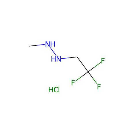 CNNCC(F)(F)F.Cl